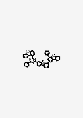 c1ccc(-c2nc(-c3ccc4c(c3)sc3c(-c5cc(-c6ccccc6)c6oc7ccccc7c6c5)cccc34)nc(-c3cccc4oc5ccccc5c34)n2)cc1